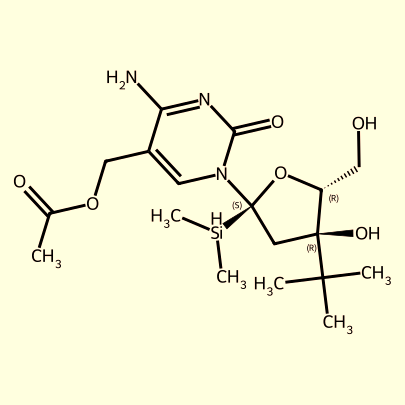 CC(=O)OCc1cn([C@@]2([SiH](C)C)C[C@@](O)(C(C)(C)C)[C@@H](CO)O2)c(=O)nc1N